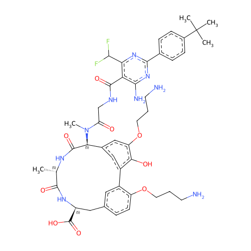 C[C@@H]1NC(=O)[C@@H](N(C)C(=O)CNC(=O)c2c(N)nc(-c3ccc(C(C)(C)C)cc3)nc2C(F)F)c2cc(OCCCN)c(O)c(c2)-c2cc(ccc2OCCCN)C[C@@H](C(=O)O)NC1=O